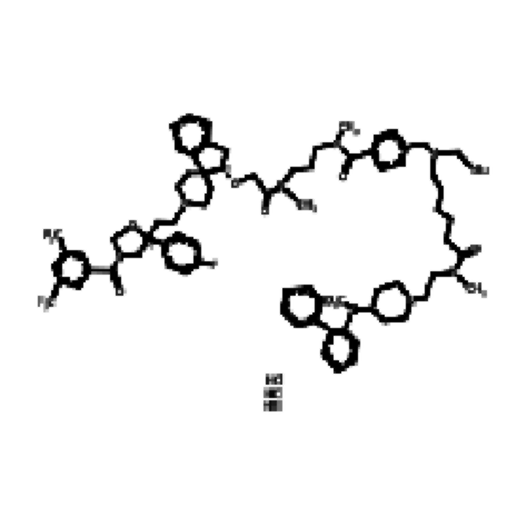 CN(CCN1CCC(N(C(=O)O)c2ccccc2-c2ccccc2)CC1)C(=O)CCCCCN(Cc1ccc(C(=O)N(C)CCCN(C)C(=O)CO[C@H]2Cc3ccccc3C23CCN(CC[C@@]2(c4ccc(F)cc4)CN(C(=O)c4cc(C(F)(F)F)cc(C(F)(F)F)c4)CO2)CC3)cc1)CC(C)(C)C.Cl.Cl.Cl